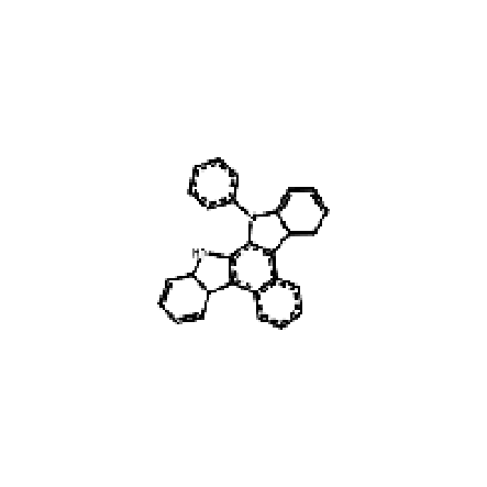 C1=CCC2C(=C1)N(c1ccccc1)c1c3c(c4ccccc4c12)C1C=CC=CC1N3